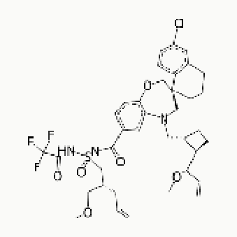 C=CC[C@H](COC)CS(=O)(=NC(=O)c1ccc2c(c1)N(C[C@@H]1CC[C@H]1[C@H](C=C)OC)C[C@@]1(CCCc3cc(Cl)ccc31)CO2)NC(=O)C(F)(F)F